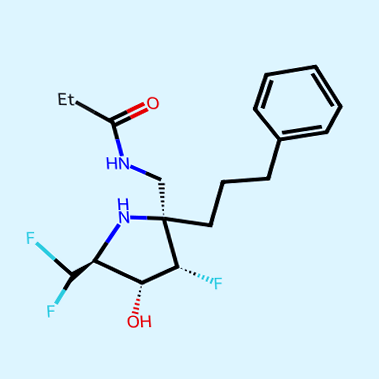 CCC(=O)NC[C@@]1(CCCc2ccccc2)N[C@H](C(F)F)[C@@H](O)[C@H]1F